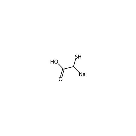 O=C(O)[CH]([Na])S